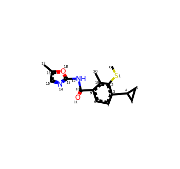 CSc1c(C2CC2)ccc(C(=O)Nc2ncc(C)o2)c1C